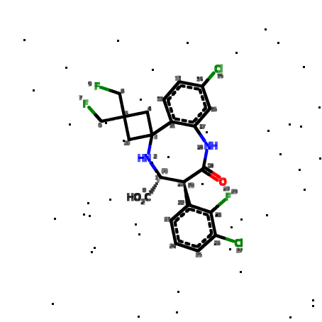 O=C(O)[C@@H]1NC2(CC(CF)(CF)C2)c2ccc(Cl)cc2NC(=O)[C@H]1c1cccc(Cl)c1F